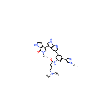 CN(C)C/C=C/C(=O)Nc1cc(-c2cnc3[nH]cc(-c4cn(C)c(=O)c5[nH]ccc45)c3c2)cc(-c2cnn(C)c2)c1